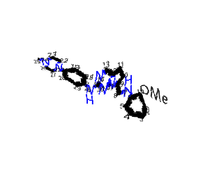 COc1ccccc1NCc1ccc2cnc(Nc3ccc(N4CCN(C)CC4)cc3)nn12